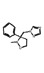 CN1OCCC1(Cn1cncn1)c1ccccc1